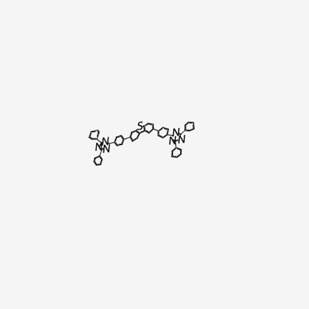 c1ccc(-c2nc(-c3ccccc3)nc(-c3ccc(-c4ccc5c(c4)sc4ccc(-c6ccc(-c7nc(-c8ccccc8)nc(-c8ccccc8)n7)cc6)cc45)cc3)n2)cc1